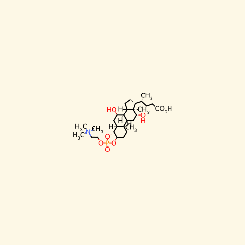 C[C@H](CCC(=O)O)[C@H]1CC[C@H]2[C@@H]3[C@H](O)C[C@@H]4C[C@H](OP(=O)([O-])OCC[N+](C)(C)C)CC[C@]4(C)[C@H]3C[C@H](O)[C@]12C